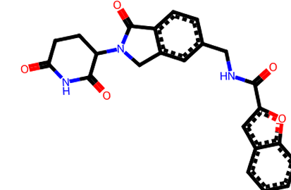 O=C1CCC(N2Cc3cc(CNC(=O)c4cc5ccccc5o4)ccc3C2=O)C(=O)N1